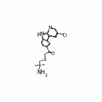 CC(C)(N)CSCC(=O)c1ccc2[nH]c3ncc(Cl)cc3c2c1